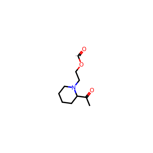 CC(=O)C1CCCCN1CCO[C]=O